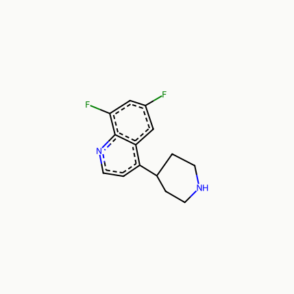 Fc1cc(F)c2nccc(C3CCNCC3)c2c1